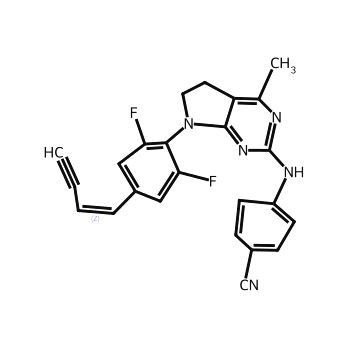 C#C/C=C\c1cc(F)c(N2CCc3c(C)nc(Nc4ccc(C#N)cc4)nc32)c(F)c1